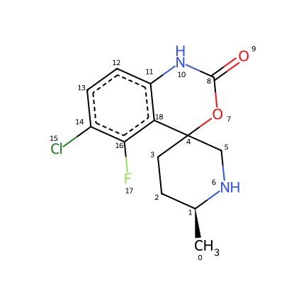 C[C@H]1CCC2(CN1)OC(=O)Nc1ccc(Cl)c(F)c12